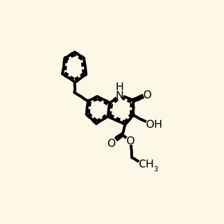 CCOC(=O)c1c(O)c(=O)[nH]c2cc(Cc3ccccc3)ccc12